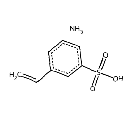 C=Cc1cccc(S(=O)(=O)O)c1.N